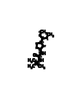 CCC(CC)N1CCC(NC(=O)NC(C)(C)C)C1